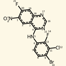 O=[N+]([O-])c1cc2c(Nc3ccc(Br)c(Cl)c3F)ncnc2cc1F